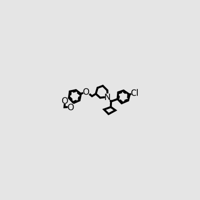 Clc1ccc(C(C2CCC2)N2CCCC(COc3ccc4c(c3)OCO4)C2)cc1